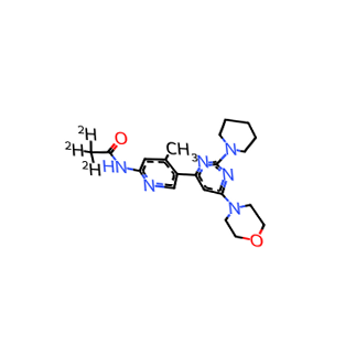 [2H]C([2H])([2H])C(=O)Nc1cc(C)c(-c2cc(N3CCOCC3)nc(N3CCCCC3)n2)cn1